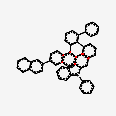 c1ccc(-c2ccccc2-c2c(-c3ccccc3)cccc2N(c2ccc(-c3ccc4ccccc4c3)cc2)c2cccc3c2c2ccccc2n3-c2ccccc2)cc1